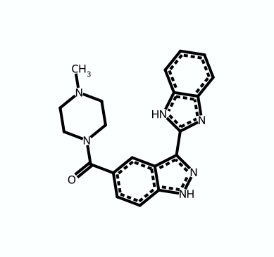 CN1CCN(C(=O)c2ccc3[nH]nc(-c4nc5ccccc5[nH]4)c3c2)CC1